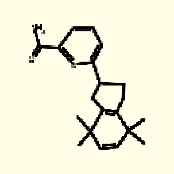 CC1(C)C=CC(C)(C)C2=C1CCC(c1cccc(C(N)=O)n1)C2